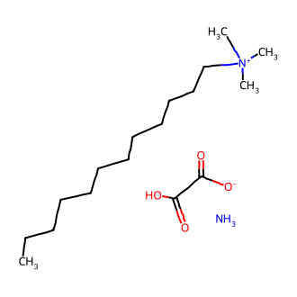 CCCCCCCCCCCC[N+](C)(C)C.N.O=C([O-])C(=O)O